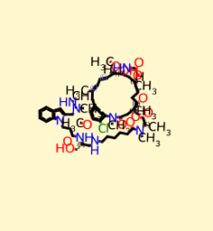 CNN(C)Cc1cc2ccccc2n1CCC(=O)N[C@@H](CO)CNCCCCCC(=O)N(C)[C@@H](C)C(=O)O[C@H]1CC(=O)N(C)c2cc(cc(OC)c2Cl)C/C(C)=C/C=C/[C@@H](OC)[C@@]2(O)C[C@H](OC(=O)N2)C2(C)C[C@@]1(C)O2